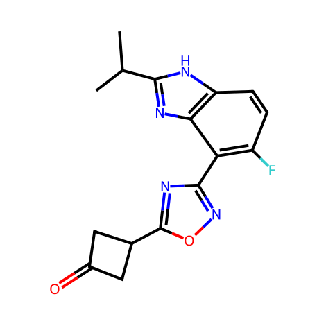 CC(C)c1nc2c(-c3noc(C4CC(=O)C4)n3)c(F)ccc2[nH]1